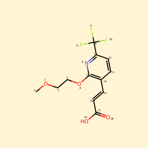 COCCOc1nc(C(F)(F)F)ccc1C=CC(=O)O